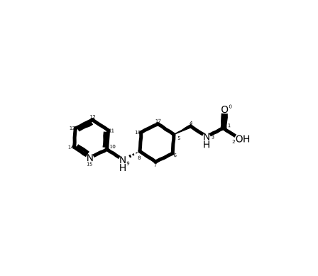 O=C(O)NC[C@H]1CC[C@H](Nc2ccccn2)CC1